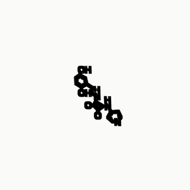 O=c1c(NCCc2cc(O)ccc2O)c(Nc2ccncc2)c1=O